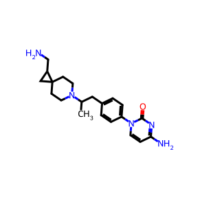 CC(Cc1ccc(-n2ccc(N)nc2=O)cc1)N1CCC2(CC1)CC2CN